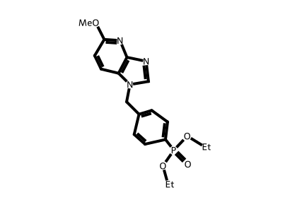 CCOP(=O)(OCC)c1ccc(Cn2cnc3nc(OC)ccc32)cc1